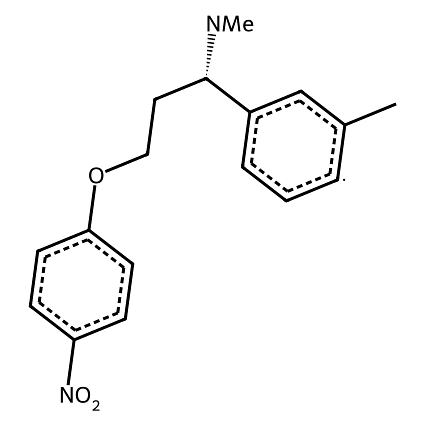 CN[C@@H](CCOc1ccc([N+](=O)[O-])cc1)c1cc[c]c(C)c1